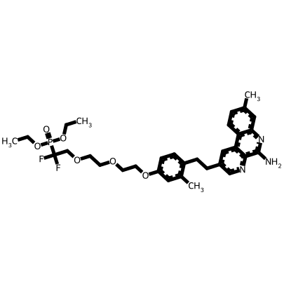 CCOP(=O)(OCC)C(F)(F)COCCOCCOc1ccc(CCc2cnc3c(N)nc4cc(C)ccc4c3c2)c(C)c1